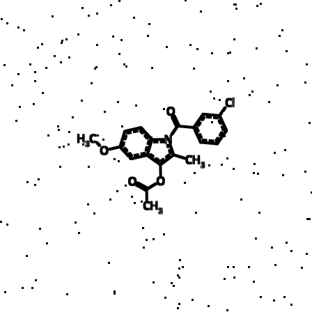 COc1ccc2c(c1)c(OC(C)=O)c(C)n2C(=O)c1cccc(Cl)c1